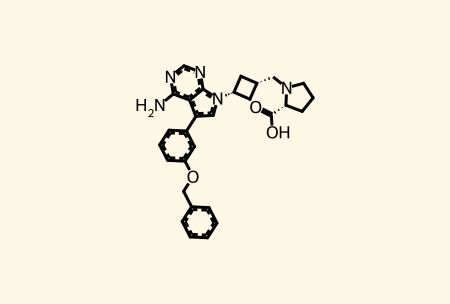 Nc1ncnc2c1c(-c1cccc(OCc3ccccc3)c1)cn2[C@H]1C[C@@H](CN2CCC[C@@H]2C(=O)O)C1